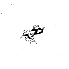 COC(=O)c1cc(Cl)ccc1B1OC(C)(C)C(C)(C)O1